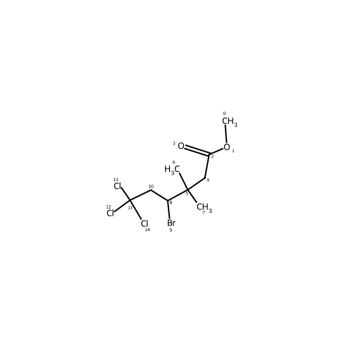 COC(=O)CC(C)(C)C(Br)CC(Cl)(Cl)Cl